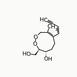 C#C/C=C\C1=C(/C)COO[C@H](CO)[C@@H](O)CC1